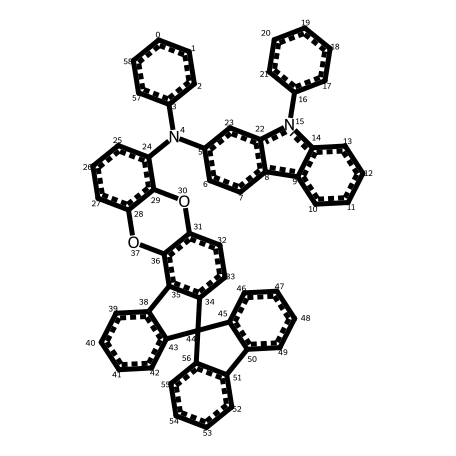 c1ccc(N(c2ccc3c4ccccc4n(-c4ccccc4)c3c2)c2cccc3c2Oc2ccc4c(c2O3)-c2ccccc2C42c3ccccc3-c3ccccc32)cc1